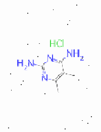 Cc1nc(N)nc(N)c1C.Cl